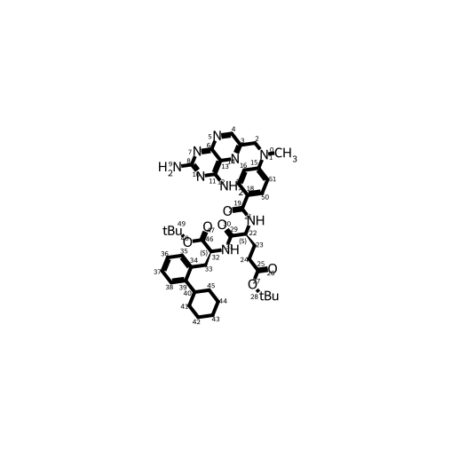 CN(Cc1cnc2nc(N)nc(N)c2n1)c1ccc(C(=O)N[C@@H](CCC(=O)OC(C)(C)C)C(=O)N[C@@H](Cc2ccccc2C2CCCCC2)C(=O)OC(C)(C)C)cc1